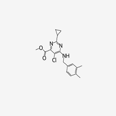 COC(=O)c1nc(C2CC2)nc(NCc2ccc(C)c(C)c2)c1Cl